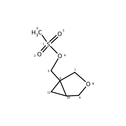 CS(=O)(=O)OCC12COCC1C2